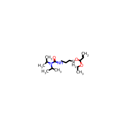 C=CC(OCC)O[SiH2]CCCNC(=O)N(C(C)C)C(C)C